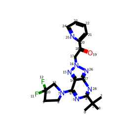 CC(C)(C)c1nc(N2CCC(F)(F)C2)c2nn(CC(=O)c3ccccn3)nc2n1